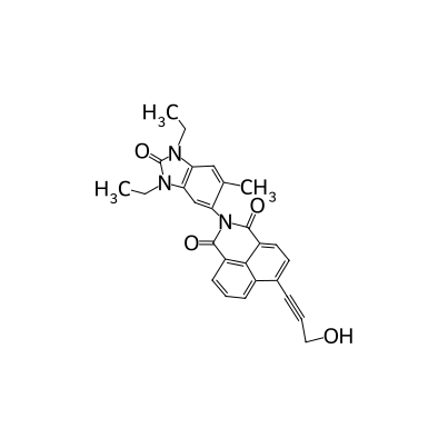 CCn1c(=O)n(CC)c2cc(N3C(=O)c4cccc5c(C#CCO)ccc(c45)C3=O)c(C)cc21